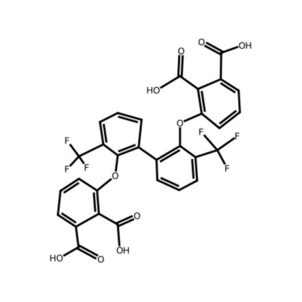 O=C(O)c1cccc(Oc2c(-c3cccc(C(F)(F)F)c3Oc3cccc(C(=O)O)c3C(=O)O)cccc2C(F)(F)F)c1C(=O)O